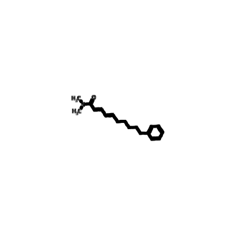 CN(C)C(=O)/C=C/C=C/CCCCCc1ccccc1